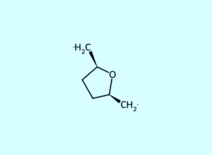 [CH2][C@@H]1CC[C@H]([CH2])O1